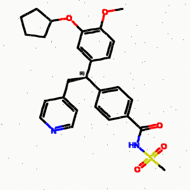 COc1ccc([C@H](Cc2ccncc2)c2ccc(C(=O)NS(C)(=O)=O)cc2)cc1OC1CCCC1